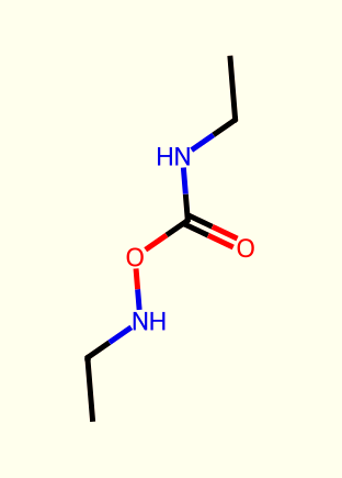 CCNOC(=O)NCC